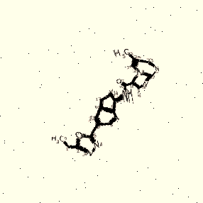 CCc1nnc(-c2ccc3c(c2)CCC3NC(=O)c2cnc3ncc(C)cn23)o1